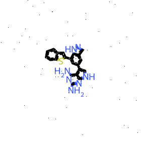 Nc1nc(N)c2c(-c3cc(-c4cc5ccccc5s4)c4[nH]ncc4c3)c[nH]c2n1